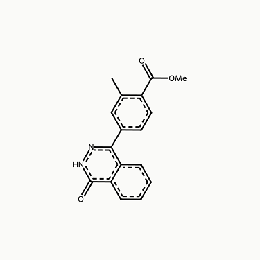 COC(=O)c1ccc(-c2n[nH]c(=O)c3ccccc23)cc1C